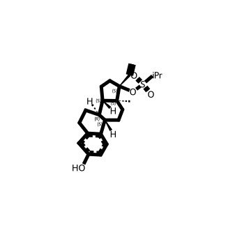 C#C[C@]1(OS(=O)(=O)C(C)C)CC[C@H]2[C@@H]3CCc4cc(O)ccc4[C@H]3CC[C@@]21C